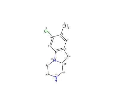 Cc1cc2c(cc1Cl)N1CCNCC1C2